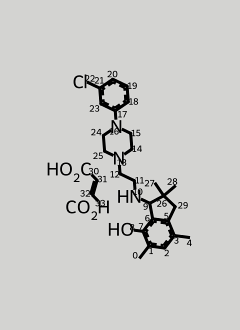 Cc1cc(C)c2c(c1O)C(NCCN1CCN(c3cccc(Cl)c3)CC1)C(C)(C)C2.O=C(O)C=CC(=O)O